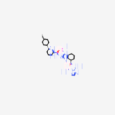 CCc1ccc(-c2cccc(C(=O)Nc3nc4c(C(=O)Nc5ncc[nH]5)cccc4[nH]3)n2)cc1